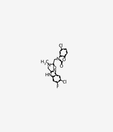 CN(Cc1nc2cc(Cl)c(F)cc2[nH]1)C(=O)Cn1c(=O)oc2ccc(Cl)cc21